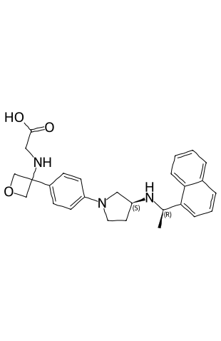 C[C@@H](N[C@H]1CCN(c2ccc(C3(NCC(=O)O)COC3)cc2)C1)c1cccc2ccccc12